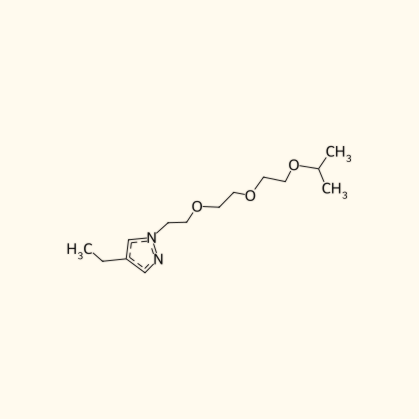 CCc1cnn(CCOCCOCCOC(C)C)c1